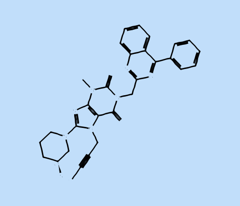 CC#CCn1c(N2CCC[C@H](N)C2)nc2c1c(=O)n(Cc1nc(-c3ccccc3)c3ccccc3n1)c(=O)n2C